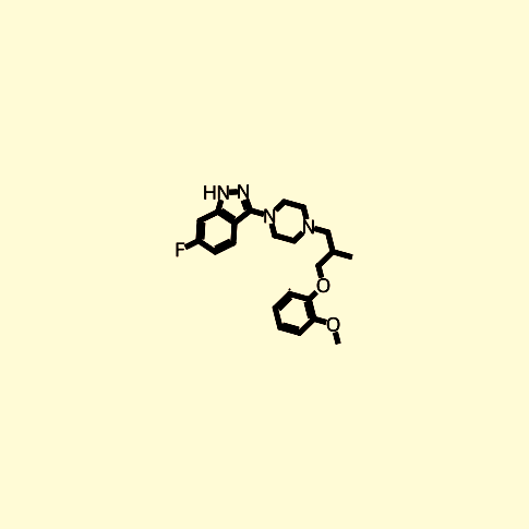 COc1ccc[c]c1OCC(C)CN1CCN(c2n[nH]c3cc(F)ccc23)CC1